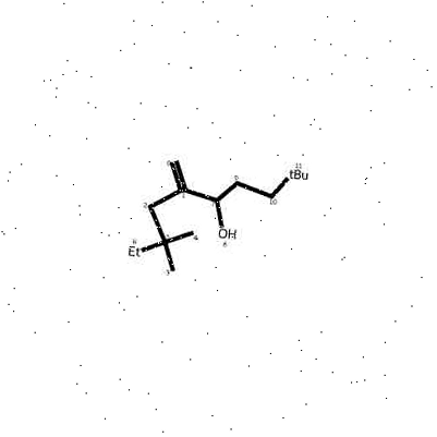 C=C(CC(C)(C)CC)C(O)CCC(C)(C)C